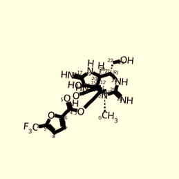 C[C@H]1C(OC(=O)c2ccc(C(F)(F)F)o2)C(O)(O)[C@]23NC(=N)N[C@H]2[C@H](CO)NC(=N)N13